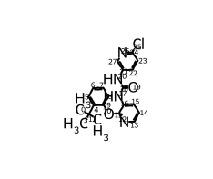 CC(C)(C)c1ccccc1Oc1ncccc1NC(=O)Nc1ccc(Cl)nc1